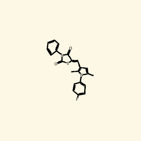 Cc1cc(C=C2SC(=O)N(c3ccccc3)C2=O)c(C)n1-c1ccc(F)cc1